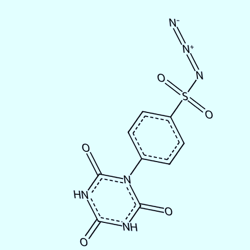 [N-]=[N+]=NS(=O)(=O)c1ccc(-n2c(=O)[nH]c(=O)[nH]c2=O)cc1